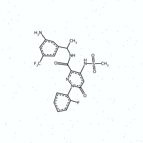 CC(NC(=O)c1nn(-c2ccccc2F)c(=O)cc1NS(C)(=O)=O)c1cc(N)cc(C(F)(F)F)c1